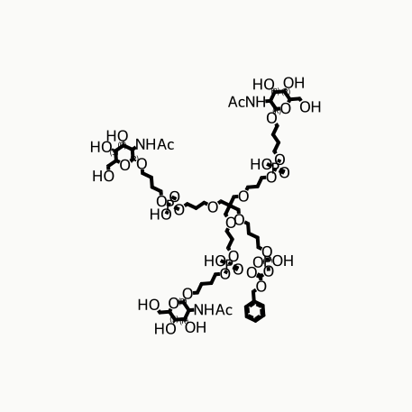 CC(=O)NC1[C@H](OCCCCOP(=O)(O)OCCCOCC(COCCCCOP(=O)(O)OC(=O)OCc2ccccc2)(COCCCOP(=O)(O)OCCCCO[C@@H]2OC(CO)[C@@H](O)[C@H](O)C2NC(C)=O)COCCCOP(=O)(O)OCCCCO[C@@H]2OC(CO)[C@H](O)[C@H](O)C2NC(C)=O)OC(CO)[C@@H](O)[C@@H]1O